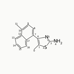 Cc1sc(N)nc1-c1ccc(C)c2ccccc12